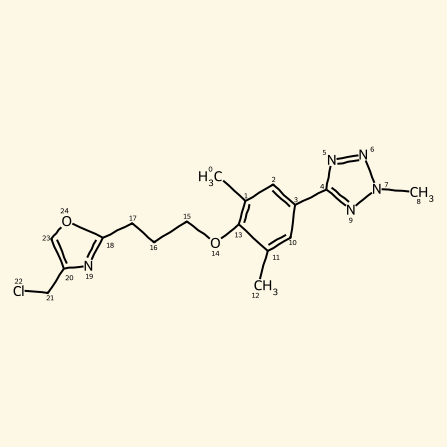 Cc1cc(-c2nnn(C)n2)cc(C)c1OCCCc1nc(CCl)co1